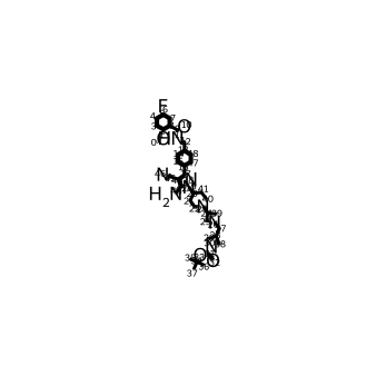 COc1ccc(F)cc1C(=O)NCc1ccc(-c2nn(C3CCN(C4CN(CC5CN(C(=O)OC(C)(C)C)C5)C4)CC3)c(N)c2C#N)cc1